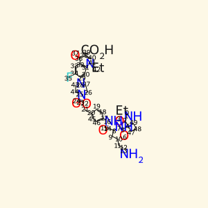 CCNC(=O)C1(C(=O)NC(CCCCN)C(=O)Nc2ccc(COC(=O)N3CCN(c4cc5c(cc4F)c(=O)c(C(=O)O)cn5CC)CC3)cc2)CCC1